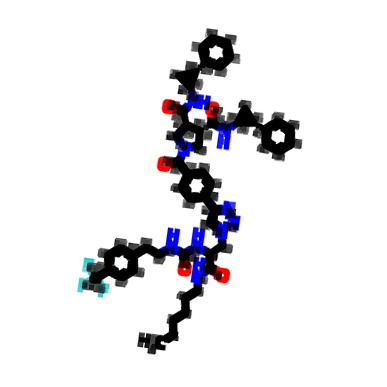 CCCCCCNC(=O)[C@H](Cn1cc(-c2ccc(C(=O)N3C[C@@H](C(=O)N[C@H]4C[C@@H]4c4ccccc4)[C@H](C(=O)N[C@H]4C[C@@H]4c4ccccc4)C3)cc2)nn1)NC(=O)NCCc1ccc(C(F)(F)F)cc1